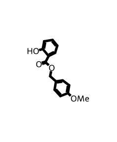 COc1ccc(COC(=O)c2ccccc2O)cc1